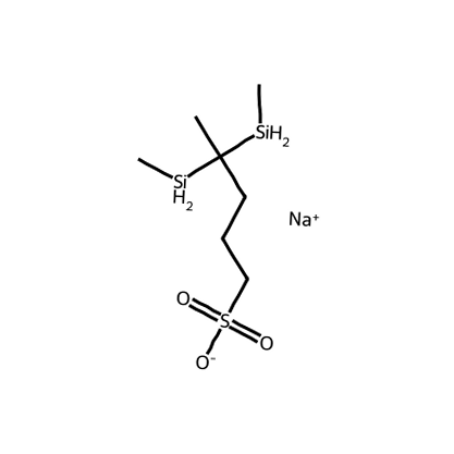 C[SiH2]C(C)(CCCS(=O)(=O)[O-])[SiH2]C.[Na+]